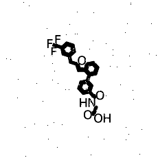 O=C(O)CNC(=O)c1cccc(-c2cccc3oc(Cc4cccc(C(F)(F)F)c4)cc23)c1